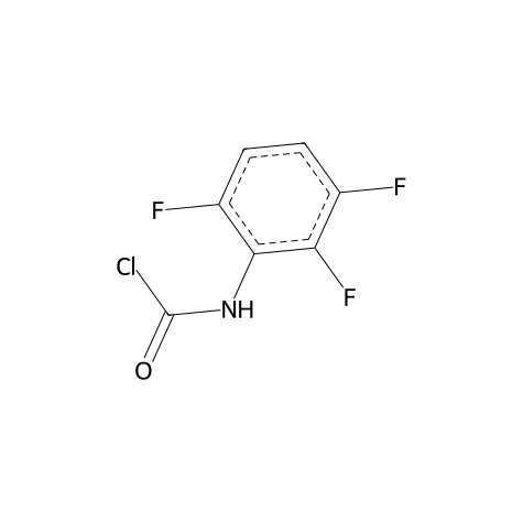 O=C(Cl)Nc1c(F)ccc(F)c1F